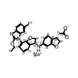 CCOc1nc2ccc(F)cc2n1-c1cccc2c1OC[C@H]2Nc1ccc2c(c1)OC[C@H]2CC(=O)[O-].[Na+]